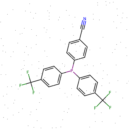 N#Cc1ccc(P(c2ccc(C(F)(F)F)cc2)c2ccc(C(F)(F)F)cc2)cc1